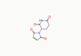 O=C1CCC(N2C(=O)C=CC2=O)C(=O)N1